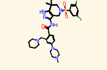 CN1CCN(c2ccc(C(=O)Nc3n[nH]c4c3CN(S(=O)(=O)c3cc(F)cc(F)c3)CC4(C)C)c(CN3CCCCC3)c2)CC1